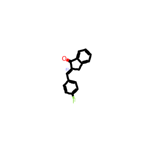 O=C1/C(=C/c2ccc(F)cc2)Cc2ccccc21